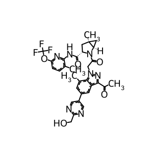 CC(=O)c1nn(CC(=O)N2[C@H](C(=O)Nc3nc(OC(F)(F)F)ccc3C)C[C@@]3(C)C[C@@H]23)c2c(C)cc(-c3cnc(CO)nc3)cc12